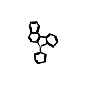 c1ccc(-n2c3ccccc3c3c4ccccc4ccc32)cc1